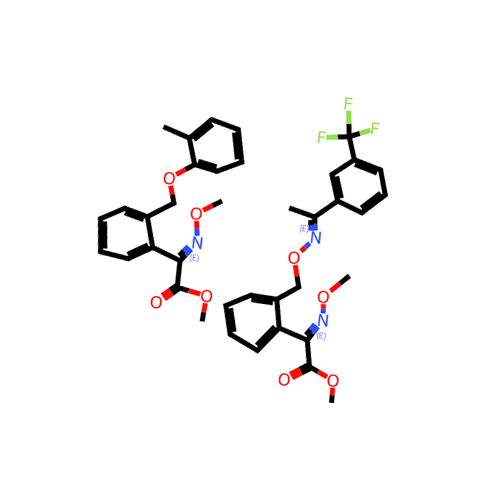 CO/N=C(/C(=O)OC)c1ccccc1CO/N=C(\C)c1cccc(C(F)(F)F)c1.CO/N=C(/C(=O)OC)c1ccccc1COc1ccccc1C